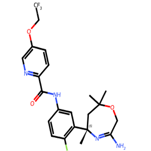 CC1(C)C[C@@](C)(c2cc(NC(=O)c3ccc(OCC(F)(F)F)cn3)ccc2F)N=C(N)CO1